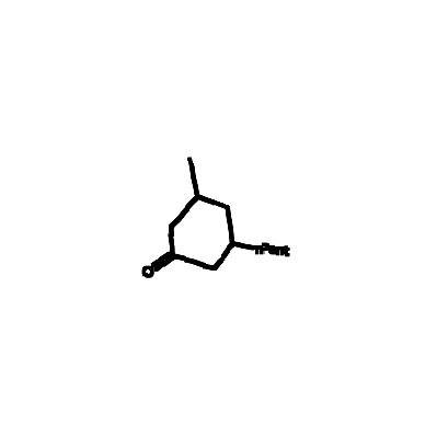 CCCCCC1CC(=O)CC(C)C1